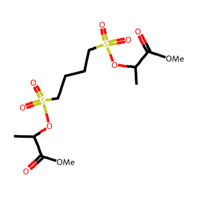 COC(=O)C(C)OS(=O)(=O)CCCCS(=O)(=O)OC(C)C(=O)OC